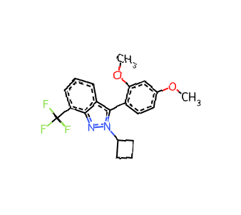 COc1ccc(-c2c3cccc(C(F)(F)F)c3nn2C2CCC2)c(OC)c1